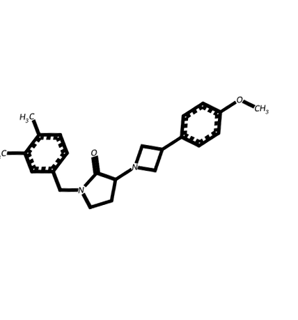 COc1ccc(C2CN(C3CCN(Cc4ccc(C)c(C)c4)C3=O)C2)cc1